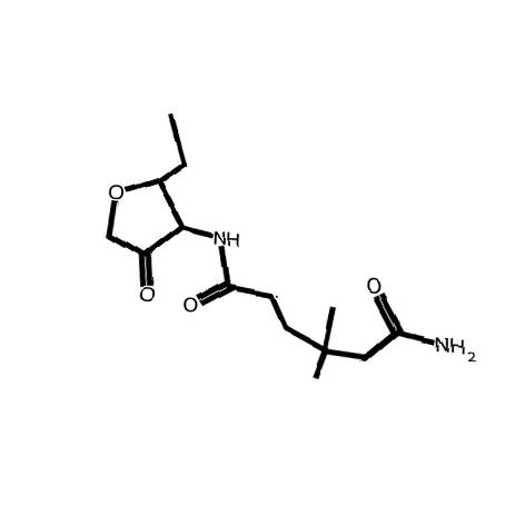 CCC1OCC(=O)C1NC(=O)[CH]CC(C)(C)CC(N)=O